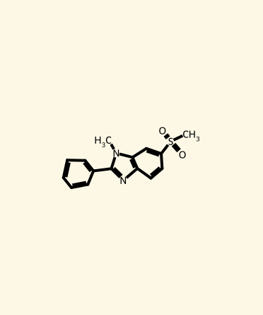 Cn1c(-c2ccccc2)nc2ccc(S(C)(=O)=O)cc21